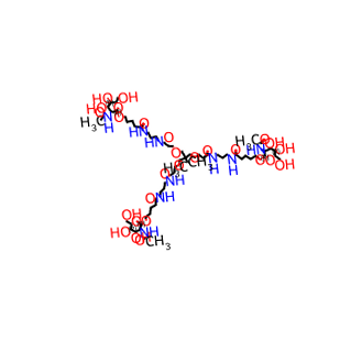 CC(=O)NC1C(O)[C@@H](O)C(CO)O[C@H]1OCCCCC(=O)NCCCNC(=O)CCOCC(COCCC(=O)NCCCNC(=O)CCCCO[C@@H]1OC(CO)[C@H](O)C(O)C1NC(C)=O)(COCCC(=O)NCCCNC(=O)CCCCO[C@@H]1OC(CO)[C@H](O)C(O)C1NC(C)=O)C(C)C